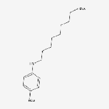 CCCCCCCCCCCCCCCCCCNc1ccc(CCCC)cc1